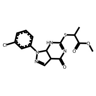 COC(=O)C(C)SC1=NC(=O)C2C=NN(c3cccc(Cl)c3)C2N1